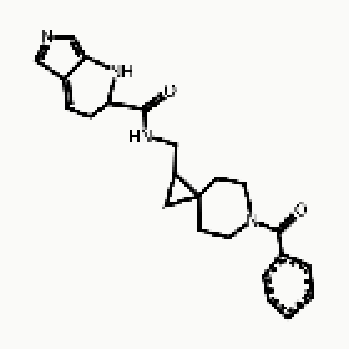 O=C(NCC1CC12CCN(C(=O)c1ccccc1)CC2)C1CC=C2C=NC=C2N1